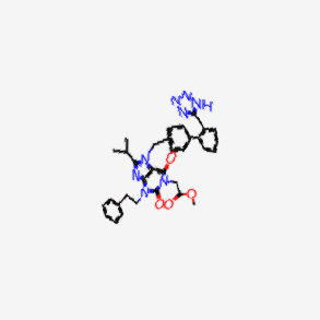 COC(=O)Cn1c(=O)c2c(nc(C(C)C)n2Cc2ccc(-c3ccccc3-c3nnn[nH]3)cc2)n(CCc2ccccc2)c1=O